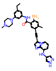 CCc1cc(NC(=O)c2cc(C#Cc3cnc4c(Nc5cn[nH]c5)cccn34)c(C)cc2P)cc(N2CCN(C)CC2)c1